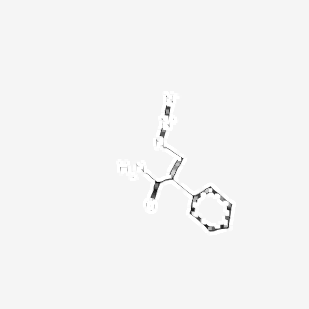 [N-]=[N+]=NC=C(C(N)=O)c1ccccc1